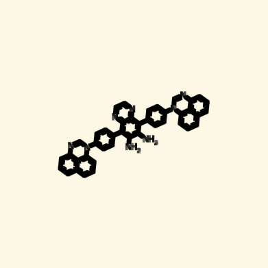 Nc1c(N)c(-c2ccc(N3C=Nc4cccc5cccc3c45)cc2)c2nccnc2c1-c1ccc(N2C=Nc3cccc4cccc2c34)cc1